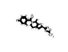 CC1c2sc(-c3noc(C(F)(F)F)n3)cc2CCN1C(=O)c1ccc(F)cc1F